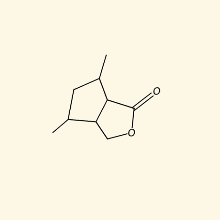 CC1CC(C)C2C(=O)OCC12